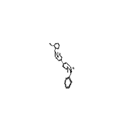 C=Cc1ccccc1C[n+]1ccc(-c2cc[n+](Cc3ccccc3)cc2)cc1